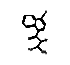 CC(C)C(Br)C(=O)c1ccc(F)c2ccccc12